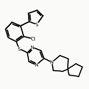 Clc1c(Sc2cnc(N3CCC4(CCCC4)CC3)cn2)cccc1-c1cccs1